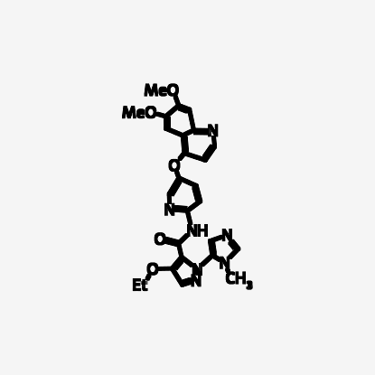 CCOc1cnn(-c2cncn2C)c1C(=O)Nc1ccc(Oc2ccnc3cc(OC)c(OC)cc23)cn1